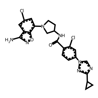 Nc1noc2c(N3CCC(NC(=O)c4ccc(-n5cnc(C6CC6)n5)cc4Cl)C3)cc(Cl)cc12